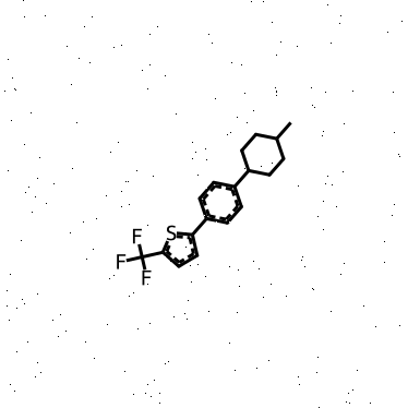 CC1CCC(c2ccc(-c3ccc(C(F)(F)F)s3)cc2)CC1